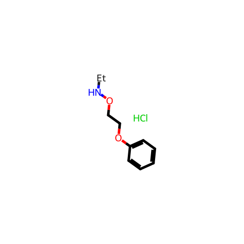 CCNOCCOc1ccccc1.Cl